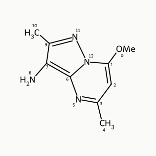 COc1cc(C)nc2c(N)c(C)nn12